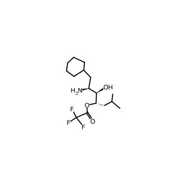 CC(C)C[C@H](OC(=O)C(F)(F)F)[C@H](O)[C@@H](N)CC1CCCCC1